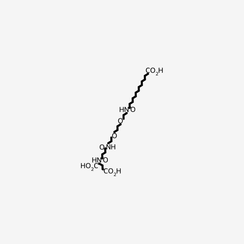 O=C(O)CCCCCCCCCCCCC(=O)NCCCOCCCCOCCCNC(=O)CCC(=O)N[C@@H](CCC(=O)O)C(=O)O